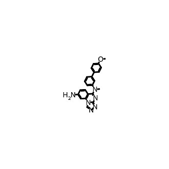 COc1ccc(-c2cccc(N(C)c3nc4nncn4c4cc(N)ccc34)c2)cc1